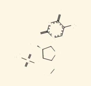 CC(=O)OC[C@H]1O[C@@H](n2cc(C#N)c(=O)[nH]c2=O)[C@H](OC(C)=O)[C@H]1OS(C)(=O)=O